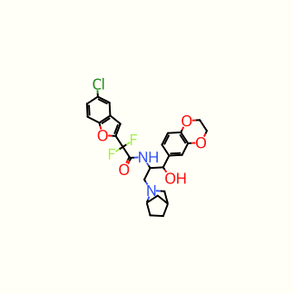 O=C(NC(CN1CC2CCC1C2)C(O)c1ccc2c(c1)OCCO2)C(F)(F)c1cc2cc(Cl)ccc2o1